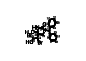 C=C1NC(=O)N(C(c2ccccc2)c2ccccc2)C=C1C(Br)C(O)Br